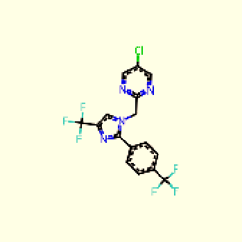 FC(F)(F)c1ccc(-c2nc(C(F)(F)F)cn2Cc2ncc(Cl)cn2)cc1